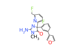 CN1C(=O)C(c2cccc(CF)n2)(c2cc(-c3ccoc3)ccc2F)N=C1N